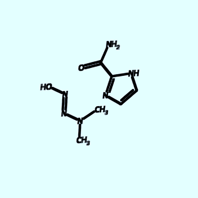 CN(C)N=NO.NC(=O)c1ncc[nH]1